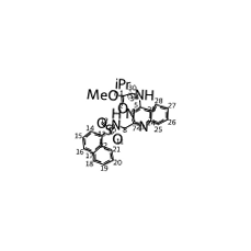 COC(=O)[C@@H](Nc1nc(CNS(=O)(=O)c2cccc3ccccc23)nc2ccccc12)C(C)C